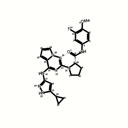 COc1ccc(NC(=O)[C@@H]2CCCN2c2nc(Nc3cc(C4CC4)[nH]n3)c3cccn3n2)cc1F